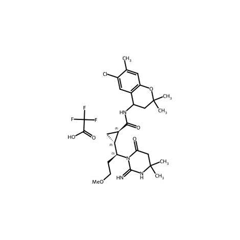 COCC[C@@H]([C@@H]1C[C@H]1C(=O)NC1CC(C)(C)Oc2cc(C)c(Cl)cc21)N1C(=N)NC(C)(C)CC1=O.O=C(O)C(F)(F)F